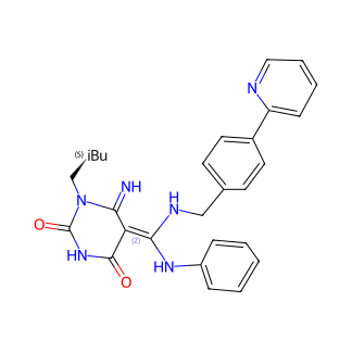 CC[C@H](C)CN1C(=N)/C(=C(\NCc2ccc(-c3ccccn3)cc2)Nc2ccccc2)C(=O)NC1=O